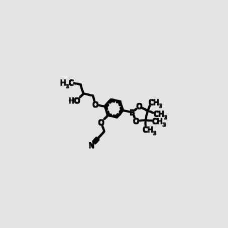 CCC(O)COc1ccc(B2OC(C)(C)C(C)(C)O2)cc1OCC#N